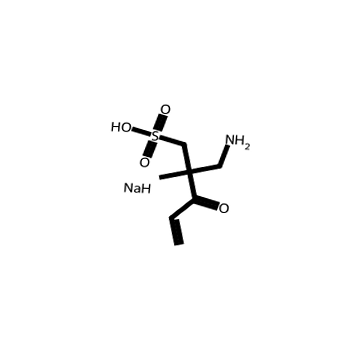 C=CC(=O)C(C)(CN)CS(=O)(=O)O.[NaH]